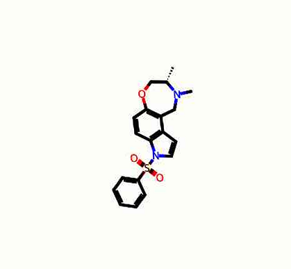 C[C@H]1COc2ccc3c(ccn3S(=O)(=O)c3ccccc3)c2CN1C